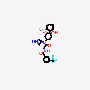 COc1ccccc1C1(O)CCC(N(C(=O)CNC(=O)c2cccc(C(F)(F)F)c2)C2CNC2)CC1